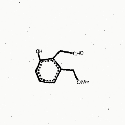 COCc1cccc(O)c1CC=O